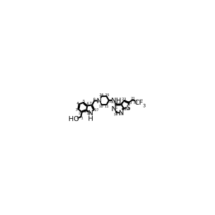 OCc1cccc2c(CN3CCC(Nc4ncnc5sc(CC(F)(F)F)cc45)CC3)c[nH]c12